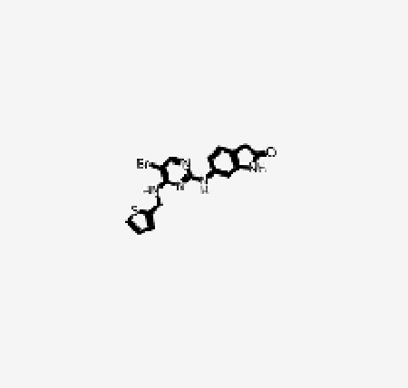 O=C1Cc2ccc(Nc3ncc(Br)c(NCc4cccs4)n3)cc2N1